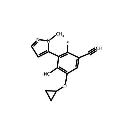 C#Cc1cc(OC2CC2)c(C#N)c(-c2ccnn2C)c1F